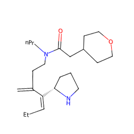 C=C(CCN(CCC)C(=O)CC1CCOCC1)/C(=C\CC)[C@@H]1CCCN1